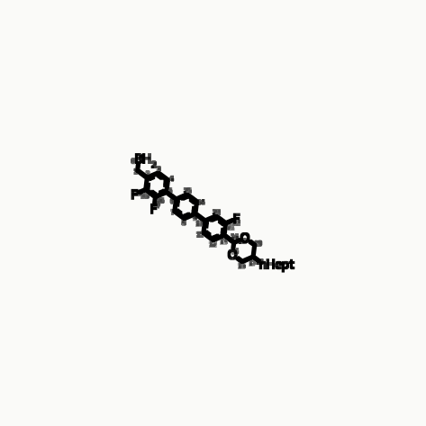 BCc1ccc(-c2ccc(-c3ccc(C4OCC(CCCCCCC)CO4)c(F)c3)cc2)c(F)c1F